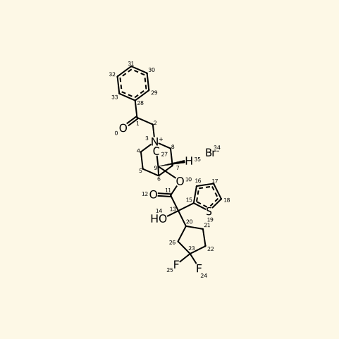 O=C(C[N+]12CCC(CC1)[C@@H](OC(=O)C(O)(c1cccs1)C1CCC(F)(F)C1)C2)c1ccccc1.[Br-]